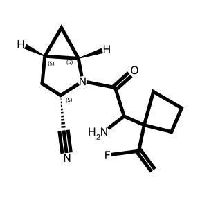 C=C(F)C1(C(N)C(=O)N2[C@H](C#N)C[C@@H]3C[C@@H]32)CCC1